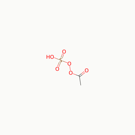 CC(=O)OOS(=O)(=O)O